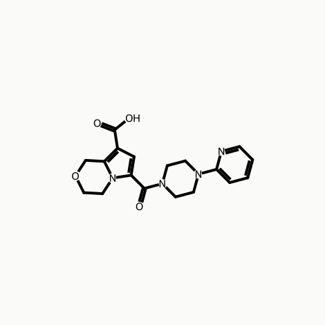 O=C(O)c1cc(C(=O)N2CCN(c3ccccn3)CC2)n2c1COCC2